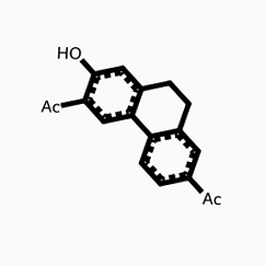 CC(=O)c1ccc2c(c1)CCc1cc(O)c(C(C)=O)cc1-2